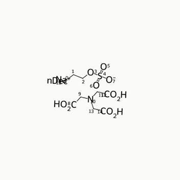 CCCCCCCCCCCCOS(=O)(=O)[O-].O=C(O)CN(CC(=O)O)CC(=O)O.[Na+]